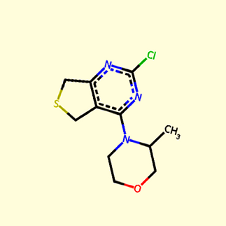 CC1COCCN1c1nc(Cl)nc2c1CSC2